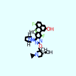 C#Cc1c(F)ccc2cc(O)cc(-c3c(F)cc4c(N5C[C@H]6CC[C@@H](C5)N6)nc(OC[C@]5(C)CN(C6CC6)CC[C@@H]5C#C)nc4c3F)c12